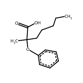 CCCCCC(C)(Oc1ccccc1)C(=O)O